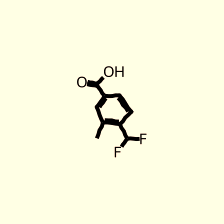 Cc1cc(C(=O)O)ccc1C(F)F